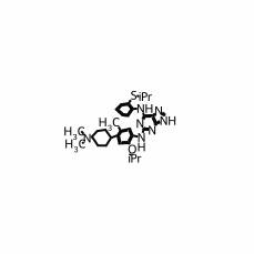 Cc1cc(Nc2nc(Nc3ccccc3SC(C)C)c3nc[nH]c3n2)c(OC(C)C)cc1C1CCC(N(C)C)CC1